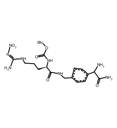 CC(C)(C)OC(=O)N[C@H](CCCN/C(N)=N\[N+](=O)[O-])C(=O)NCc1ccc(C(N)C(N)=O)cc1